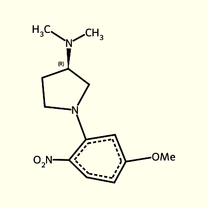 COc1ccc([N+](=O)[O-])c(N2CC[C@@H](N(C)C)C2)c1